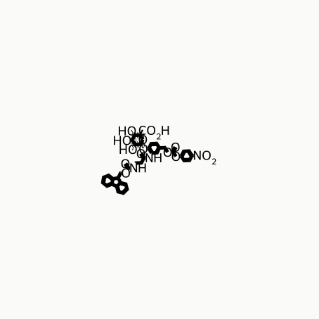 O=C(CCNC(=O)OCC1c2ccccc2-c2ccccc21)Nc1cc(COC(=O)Oc2ccc([N+](=O)[O-])cc2)ccc1O[C@H]1O[C@H](C(=O)O)[C@@H](O)[C@H](O)[C@H]1O